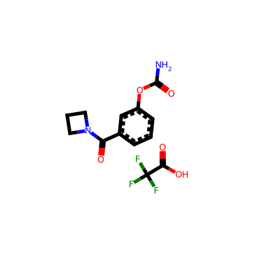 NC(=O)Oc1cccc(C(=O)N2CCC2)c1.O=C(O)C(F)(F)F